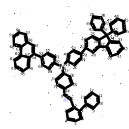 C(=C\c1ccccc1-c1ccccc1)/c1ccc(N(c2ccc(-c3ccc4c(c3)-c3ccccc3C4(c3ccccc3)c3ccccc3)cc2)c2ccc(-c3cc4ccccc4c4ccccc34)cc2)cc1